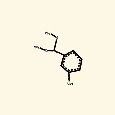 CCCSC(SCCC)c1cccc(O)c1